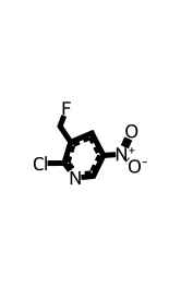 O=[N+]([O-])c1cnc(Cl)c(CF)c1